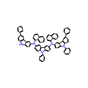 c1ccc(-c2ccc3[nH]c4ccc(N(c5ccc6c(c5)c5cc(N(c7ccc8c(c7)c7cc(-c9ccccc9)ccc7n8-c7ccccc7)c7cccc8ccccc78)ccc5n6-c5ccccc5)c5cccc6ccccc56)cc4c3c2)cc1